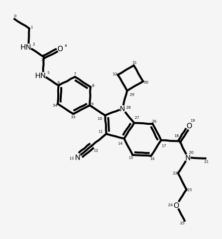 CCNC(=O)Nc1ccc(-c2c(C#N)c3ccc(C(=O)N(C)CCOC)cc3n2C2CCC2)cc1